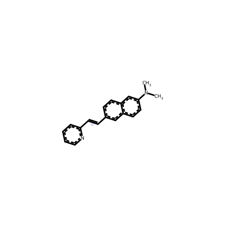 CN(C)c1ccc2cc(/C=C/c3ccccn3)ccc2c1